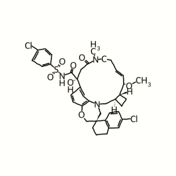 CO[C@H]1/C=C/CCN(C)C(=O)C[C@](O)(C(=O)NS(=O)(=O)c2ccc(Cl)cc2)c2ccc3c(c2)N(C[C@@H]2CC[C@H]21)C[C@@]1(CCCc2cc(Cl)ccc21)CO3